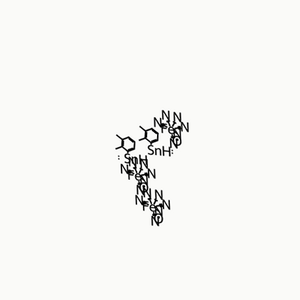 Cc1ccc[c]([SnH])c1C.Cc1ccc[c]([SnH])c1C.N#[C][Fe]([C]#N)([C]#N)([C]#N)([C]#N)[N]=O.N#[C][Fe]([C]#N)([C]#N)([C]#N)([C]#N)[N]=O.N#[C][Fe]([C]#N)([C]#N)([C]#N)([C]#N)[N]=O